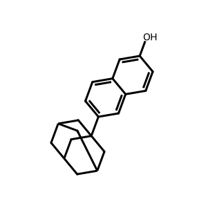 Oc1ccc2cc(C34CC5CC(CC(C5)C3)C4)ccc2c1